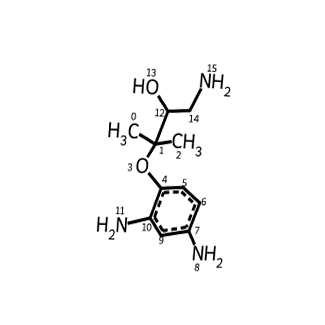 CC(C)(Oc1ccc(N)cc1N)C(O)CN